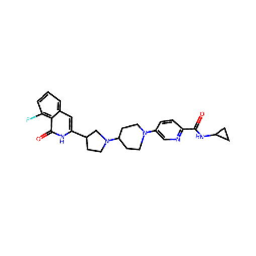 O=C(NC1CC1)c1ccc(N2CCC(N3CCC(c4cc5cccc(F)c5c(=O)[nH]4)C3)CC2)cn1